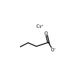 CCCC(=O)[O-].[Cs+]